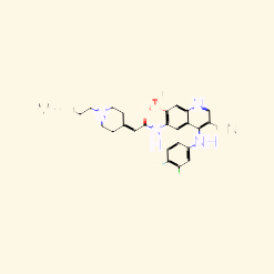 CCOc1cc2ncc(C#N)c(Nc3ccc(F)c(Cl)c3)c2cc1NC(=O)C=C1CCN(CCOC)CC1